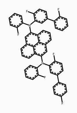 Fc1ccc(-c2ccc(F)c(N(c3ccccc3F)c3cc4cccc5c(N(c6ccccc6F)c6cc(-c7ccccc7F)ccc6F)cc6cccc3c6c45)c2)cc1